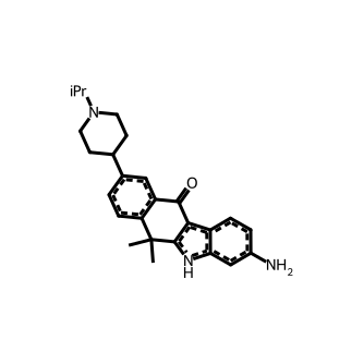 CC(C)N1CCC(c2ccc3c(c2)C(=O)c2c([nH]c4cc(N)ccc24)C3(C)C)CC1